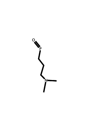 CN(C)CCCP=O